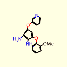 COc1ccccc1Oc1cc(Oc2cccnc2)cc(N)c1N